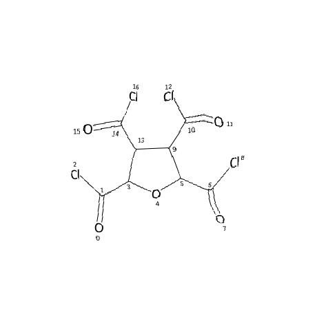 O=C(Cl)C1OC(C(=O)Cl)C(C(=O)Cl)C1C(=O)Cl